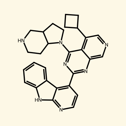 c1ccc2c(c1)[nH]c1nccc(-c3nc(N4CCC5CNCCC54)c4c(C5CCC5)cncc4n3)c12